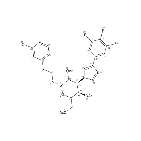 CC(=O)OCC1O[C@H](SCCc2cccc(Cl)c2)C(OC(C)=O)[C@@H](n2cc(-c3cc(F)c(F)c(F)c3)nn2)[C@H]1OC(C)=O